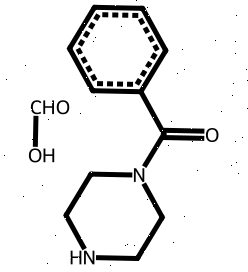 O=C(c1ccccc1)N1CCNCC1.O=CO